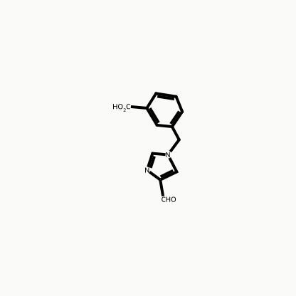 O=Cc1cn(Cc2cccc(C(=O)O)c2)cn1